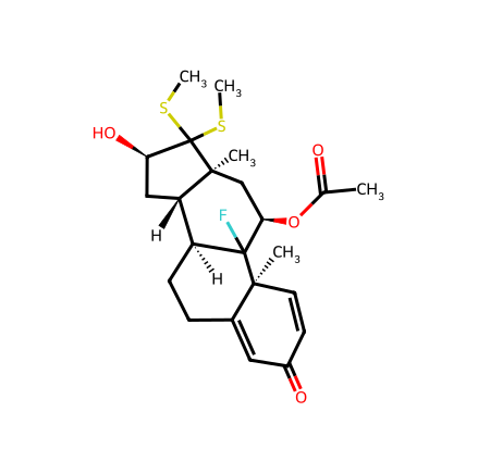 CSC1(SC)[C@H](O)C[C@H]2[C@@H]3CCC4=CC(=O)C=C[C@]4(C)C3(F)[C@H](OC(C)=O)C[C@@]21C